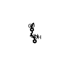 CCOC(=O)c1ccc(CCC(C)NCC(O)c2ccccc2)cc1